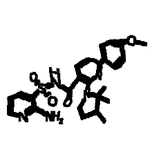 COc1ccc(-c2ccc(C(=O)NS(=O)(=O)c3cccnc3N)c(N3CCC(C)C3(C)C)n2)cc1